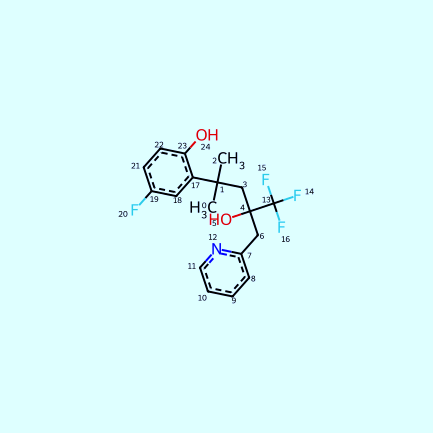 CC(C)(CC(O)(Cc1ccccn1)C(F)(F)F)c1cc(F)ccc1O